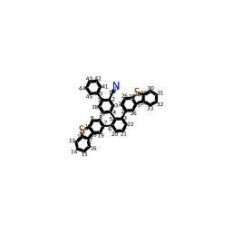 N#Cc1cc(-c2c(-c3ccc4sc5ccccc5c4c3)cccc2-c2ccc3sc4ccccc4c3c2)ccc1-c1ccccc1